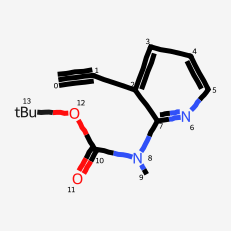 C#Cc1cccnc1N(C)C(=O)OC(C)(C)C